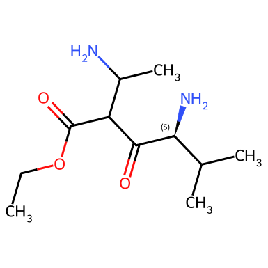 CCOC(=O)C(C(=O)[C@@H](N)C(C)C)C(C)N